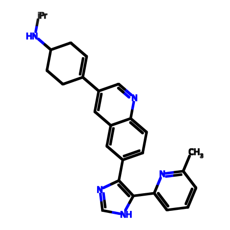 Cc1cccc(-c2[nH]cnc2-c2ccc3ncc(C4=CCC(NC(C)C)CC4)cc3c2)n1